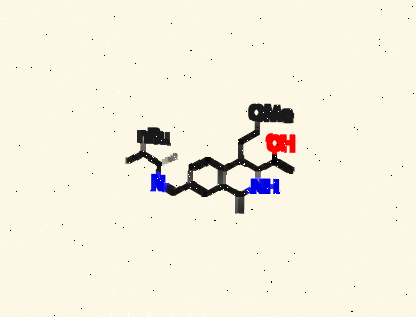 C=C1NC(C(=C)O)C(CCOC)c2ccc(/C=N\[C@@H](C)C(C)CCCC)cc21